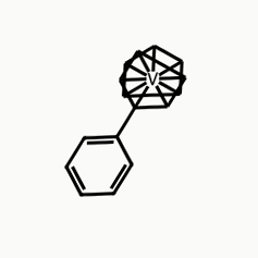 c1ccc([C]23[CH]4[CH]5[CH]6[CH]2[V]56432789[CH]3[CH]2[CH]7[CH]8[CH]39)cc1